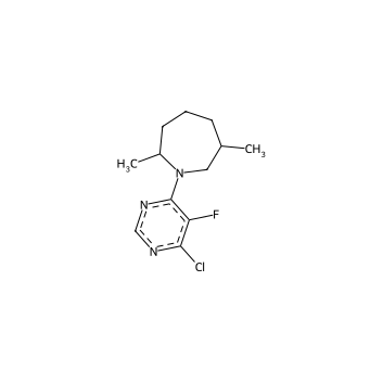 CC1CCCC(C)N(c2ncnc(Cl)c2F)C1